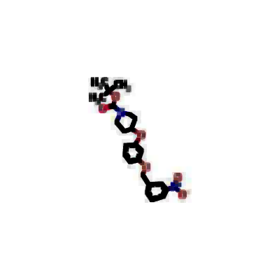 CC(C)(C)OC(=O)N1CCC(Oc2cccc(OCc3cccc([N+](=O)[O-])c3)c2)CC1